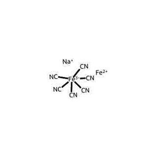 N#[C][Fe-3]([C]#N)([C]#N)([C]#N)([C]#N)[C]#N.[Fe+2].[Na+]